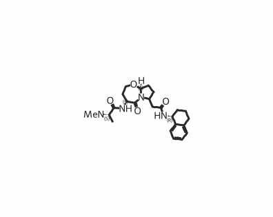 CN[C@@H](C)C(=O)N[C@H]1CCO[C@H]2CCC(CC(=O)N[C@@H]3CCCc4ccccc43)N2C1=O